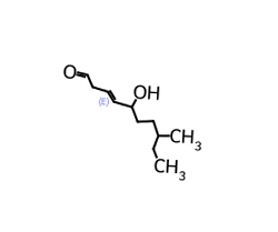 CCC(C)CCC(O)/C=C/CC=O